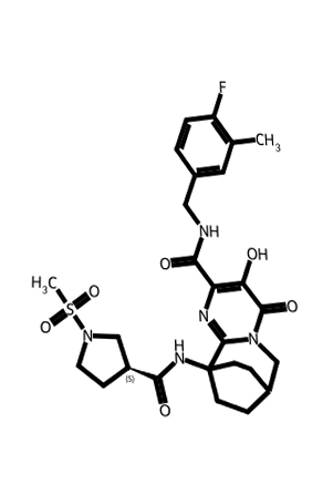 Cc1cc(CNC(=O)c2nc3n(c(=O)c2O)CC2CCC3(NC(=O)[C@H]3CCN(S(C)(=O)=O)C3)CC2)ccc1F